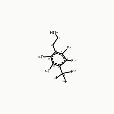 OCCc1c(F)c(F)c(C(F)(F)F)c(F)c1F